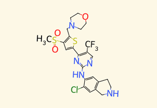 CS(=O)(=O)c1cc(-c2nc(Nc3cc4c(cc3Cl)CNCC4)ncc2C(F)(F)F)sc1CN1CCOCC1